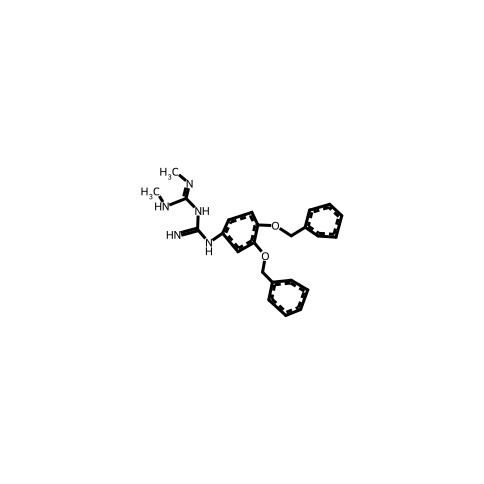 C/N=C(\NC)NC(=N)Nc1ccc(OCc2ccccc2)c(OCc2ccccc2)c1